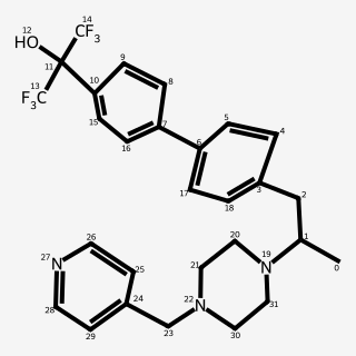 CC(Cc1ccc(-c2ccc(C(O)(C(F)(F)F)C(F)(F)F)cc2)cc1)N1CCN(Cc2ccncc2)CC1